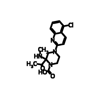 CNC1(C(C)=O)CN(c2ccc3c(Cl)cccc3n2)CCN1C(=O)O